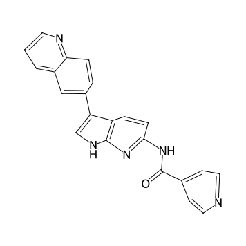 O=C(Nc1ccc2c(-c3ccc4ncccc4c3)c[nH]c2n1)c1ccncc1